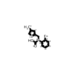 Cc1csc(CN(C(=O)O)c2ccccc2F)c1